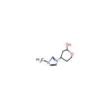 Cn1cc[n+](C2CCOC(O)C2)c1